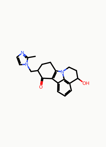 Cc1nccn1CC1CCc2c(c3cccc4c3n2CCC4O)C1=O